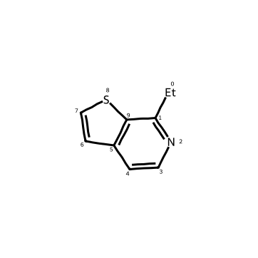 CCc1nccc2ccsc12